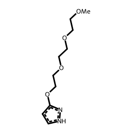 COCCOCCOCCOc1cc[nH]n1